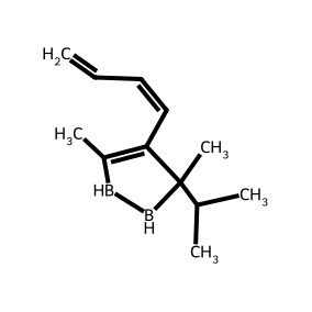 C=C/C=C\C1=C(C)BBC1(C)C(C)C